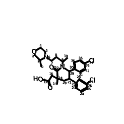 CC1COCCN1CCC(C)N1C(=O)C(C)(CC(=O)O)CC(c2cccc(Cl)c2)C1c1ccc(Cl)cc1